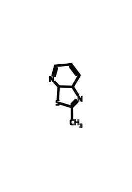 CC1=NC2C=CC=NC2S1